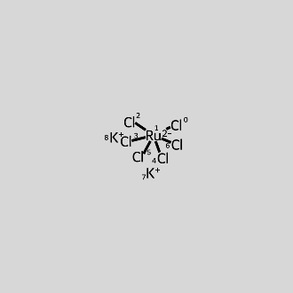 [Cl][Ru-2]([Cl])([Cl])([Cl])([Cl])[Cl].[K+].[K+]